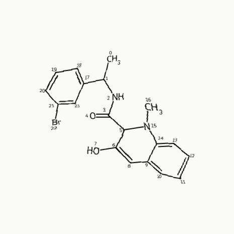 CC(NC(=O)C1C(O)=Cc2ccccc2N1C)c1cccc(Br)c1